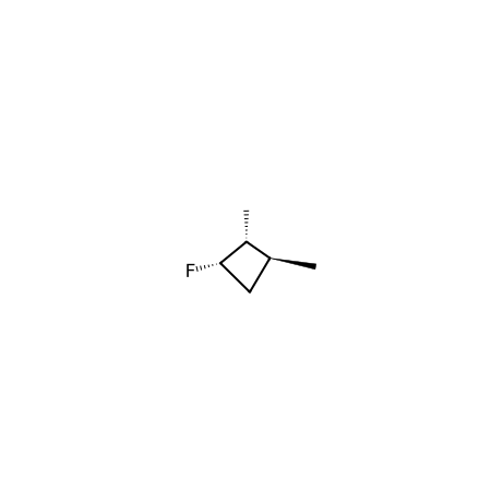 C[C@@H]1[C@@H](C)C[C@@H]1F